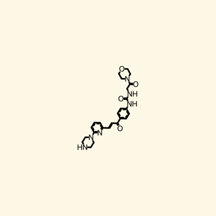 O=C(NCC(=O)N1CCOCC1)Nc1ccc(C(=O)C=Cc2cccc(N3CCNCC3)n2)cc1